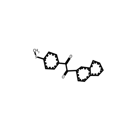 CSc1ccc(C(=O)C(=O)c2ccc3ccccc3c2)cc1